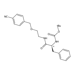 CC(C)(C)OC(=O)N[C@@H](Cc1ccccc1)C(=O)NCCOCc1ccc(C#N)cc1